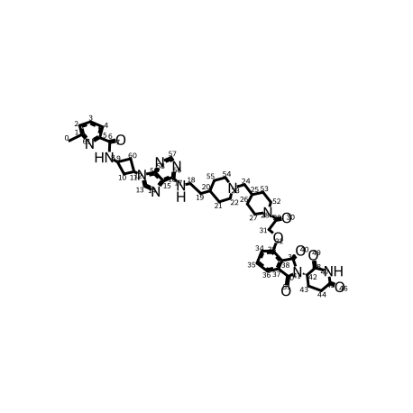 Cc1cccc(C(=O)NC2CC(n3cnc4c(NCCC5CCN(CC6CCN(C(=O)COc7cccc8c7C(=O)N([C@H]7CCC(=O)NC7=O)C8=O)CC6)CC5)ncnc43)C2)n1